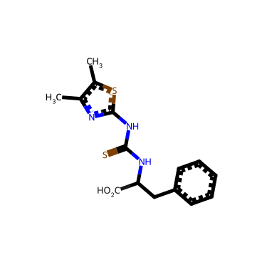 Cc1nc(NC(=S)NC(Cc2ccccc2)C(=O)O)sc1C